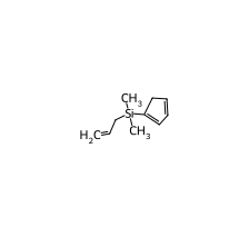 C=CC[Si](C)(C)C1=CC=CC1